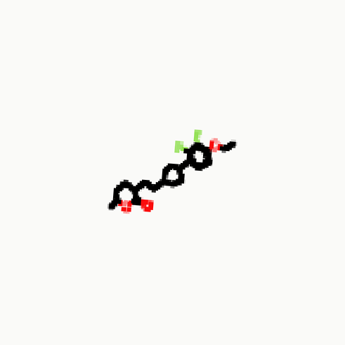 CCOc1ccc(C2CCC(CCC3CCC(C)OC3=O)CC2)c(F)c1F